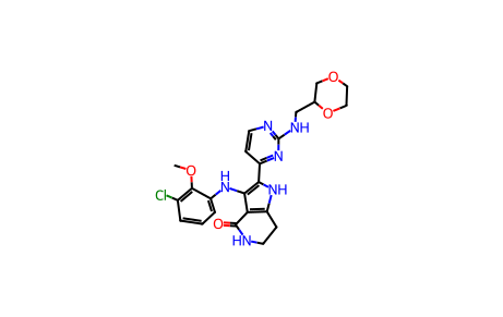 COc1c(Cl)cccc1Nc1c(-c2ccnc(NCC3COCCO3)n2)[nH]c2c1C(=O)NCC2